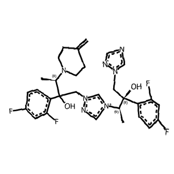 C=C1CCN([C@H](C)C(O)(Cn2c[n+]([C@H](C)[C@](O)(Cn3cncn3)c3ccc(F)cc3F)cn2)c2ccc(F)cc2F)CC1